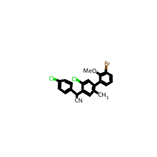 COc1c(Br)cccc1-c1cc(Cl)c(C(C#N)c2ccc(Cl)cc2)cc1C